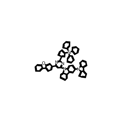 c1ccc([Si](c2ccccc2)(c2ccccc2)c2cccc(-c3nc(-c4ccc5c(c4)oc4ccccc45)cc(-n4c5ccccc5c5cc(-n6c7ccccc7c7ccccc76)ccc54)n3)c2)cc1